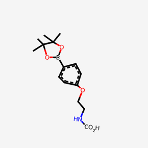 CC1(C)OB(c2ccc(OCCNC(=O)O)cc2)OC1(C)C